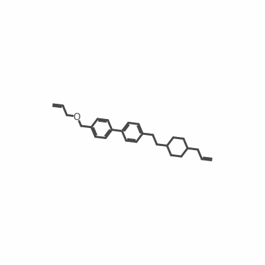 C=CCOCc1ccc(-c2ccc(CCC3CCC(CC=C)CC3)cc2)cc1